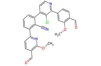 COc1cc(-c2nccc(-c3cccc(-c4ccc(C=O)c(OC)n4)c3C#N)c2Cl)ccc1C=O